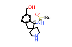 CC(C)(C)[S@@+]([O-])N[C@@H]1c2cc(CO)ccc2CC12CCNCC2